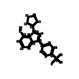 CC(C)(C)c1c[c]c(-c2nn(C3CCCC3)c3c(F)cccc23)cc1